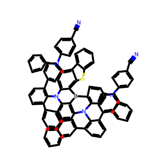 N#Cc1ccc(N(c2ccccc2)c2ccc3c(c2)N(c2c(-c4ccccc4)cccc2-c2ccccc2)c2cc(-c4ccccc4)cc4c2B3c2c(cc(N(c3ccccc3)c3ccc(C#N)cc3)c3c2sc2ccccc23)N4c2c(-c3ccccc3)cccc2-c2ccccc2)cc1